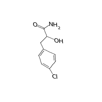 NC(=O)C(O)Cc1ccc(Cl)cc1